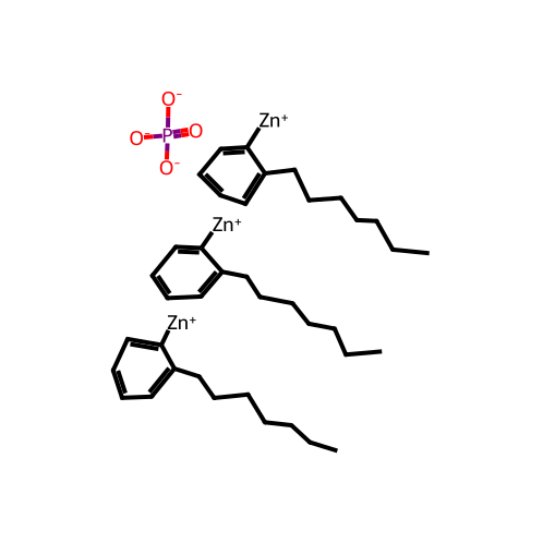 CCCCCCCc1cccc[c]1[Zn+].CCCCCCCc1cccc[c]1[Zn+].CCCCCCCc1cccc[c]1[Zn+].O=P([O-])([O-])[O-]